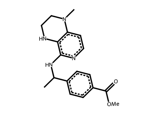 COC(=O)c1ccc(C(C)Nc2nccc3c2NCCN3C)cc1